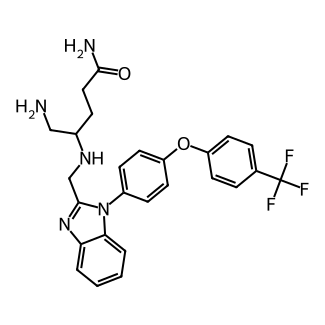 NCC(CCC(N)=O)NCc1nc2ccccc2n1-c1ccc(Oc2ccc(C(F)(F)F)cc2)cc1